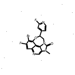 Cn1c(=O)n2c3c4c(c(Br)c(F)cc4ncc31)OC(c1ccnc(F)c1)C2